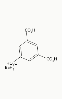 O=C(O)c1cc(C(=O)O)cc(C(=O)O)c1.[BaH2]